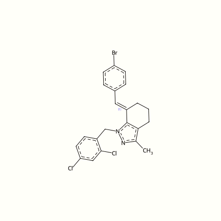 Cc1nn(Cc2ccc(Cl)cc2Cl)c2c1CCC/C2=C\c1ccc(Br)cc1